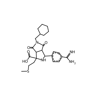 CSCCC1(C(=O)O)NC(c2ccc(C(=N)N)cc2)C2C(=O)N(CC3CCCCC3)C(=O)C21